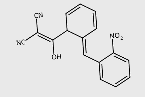 N#CC(C#N)=C(O)C1C=CC=CC1=Cc1ccccc1[N+](=O)[O-]